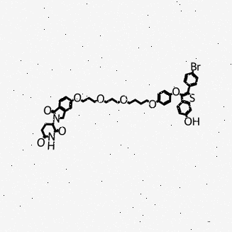 O=C1CCC(N2Cc3cc(OCCCOCCCOCCCCOc4ccc(Oc5c(-c6ccc(Br)cc6)sc6cc(O)ccc56)cc4)ccc3C2=O)C(=O)N1